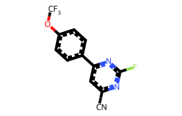 N#Cc1cc(-c2ccc(OC(F)(F)F)cc2)nc(F)n1